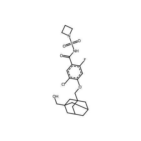 O=C(NS(=O)(=O)N1CCC1)c1cc(Cl)c(OCC23CC4CC(CC(CO)(C4)C2)C3)cc1F